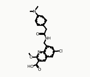 COc1nc2c(CNC(=O)Cc3ccc(N(C)C)cc3)cc(Cl)cc2cc1C(=O)O